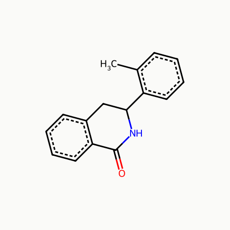 Cc1ccccc1C1Cc2ccccc2C(=O)N1